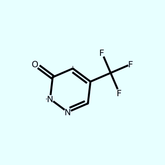 O=C1[C]=C(C(F)(F)F)C=N[N]1